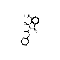 CC(CC1CCCCC1)N1C(=O)c2cccc(N)c2C1=O